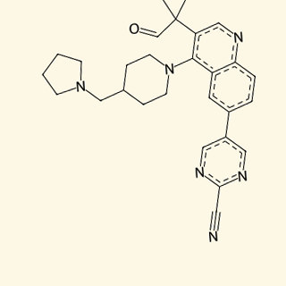 N#Cc1ncc(-c2ccc3ncc(C4(C=O)CC4)c(N4CCC(CN5CCCC5)CC4)c3c2)cn1